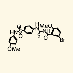 COc1ccc(NS(=O)(=O)c2ccc(NC(=S)NC(=O)c3cc(Br)ccc3OC)cc2)cc1